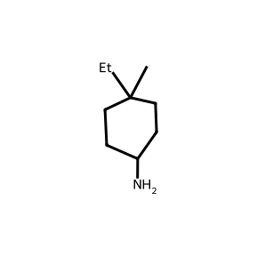 CCC1(C)CCC(N)CC1